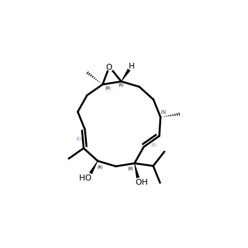 C/C1=C\CC[C@@]2(C)O[C@@H]2CC[C@H](C)/C=C/[C@](O)(C(C)C)C[C@H]1O